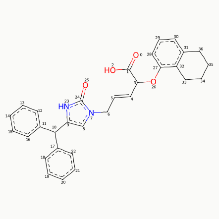 O=C(O)C(C=CCn1cc(C(c2ccccc2)c2ccccc2)[nH]c1=O)Oc1cccc2c1CCCC2